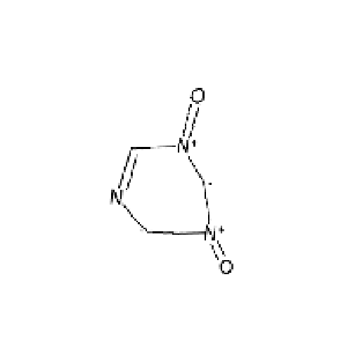 O=[N+]1[CH]N=C[N+](=O)[CH]1